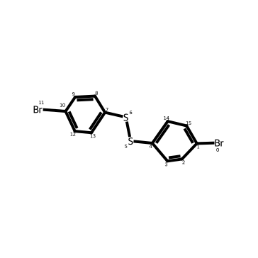 Brc1ccc(SSc2ccc(Br)cc2)cc1